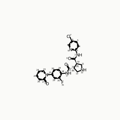 O=C(Nc1ccc(Cl)cn1)[C@H]1CNC[C@@H]1C(=O)Nc1ccc(-n2ccccc2=O)cc1F